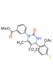 CCOC(=O)C1=C(C)N(c2cccc(C(=O)OC)c2)C(=O)NC1c1ccc(F)cc1OC(C)=O